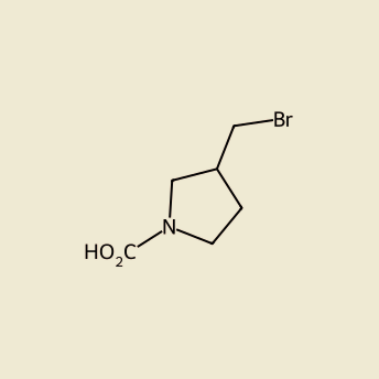 O=C(O)N1CCC(CBr)C1